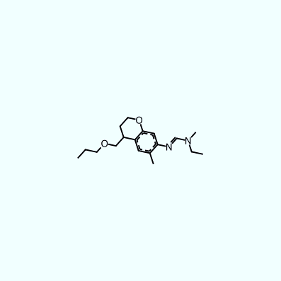 CCCOCC1CCOc2cc(/N=C/N(C)CC)c(C)cc21